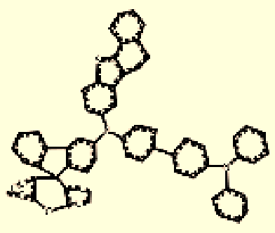 c1ccc(N(c2ccccc2)c2ccc(-c3ccc(N(c4ccc5c(c4)-c4ccccc4C54c5ccccc5Oc5ccccc54)c4ccc5sc6c7ccccc7ccc6c5c4)cc3)cc2)cc1